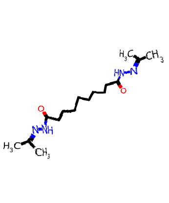 CC(C)=NNC(=O)CCCCCCCCC(=O)NN=C(C)C